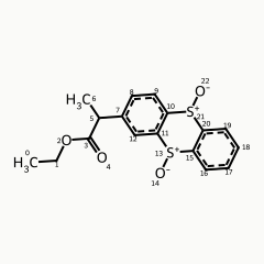 CCOC(=O)C(C)c1ccc2c(c1)[S+]([O-])c1ccccc1[S+]2[O-]